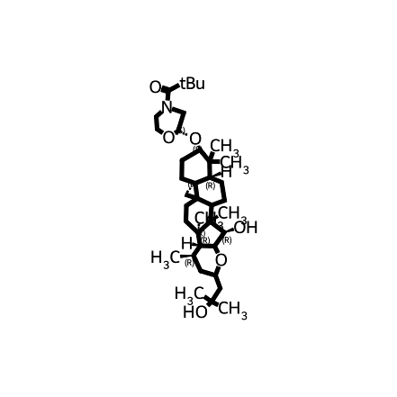 C[C@@H]1CC(CC(C)(C)O)OC2[C@H]1[C@@]1(C)CCC34C[C@@]35CC[C@H](O[C@H]3CN(C(=O)C(C)(C)C)CCO3)C(C)(C)[C@@H]5CCC4[C@]1(C)[C@H]2O